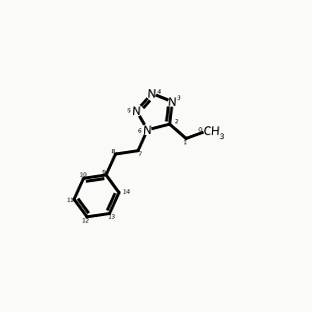 CCc1nnnn1CCc1ccccc1